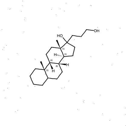 C[C@]12CCCCC1CC[C@@H]1[C@H]2CC[C@@]2(C)[C@H]1CCC2(O)CCCO